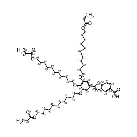 C=CC(=O)OCCCCCCCCCCCOc1cc(-c2nc3cc(C(=O)O)ccc3s2)cc(OCCCCCCCCCCCOC(=O)C=C)c1OCCCCCCCCCCCOC(=O)C=C